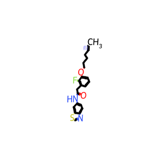 C/C=C/CCCCOc1cccc(CC(=O)Nc2ccc3ncsc3c2)c1F